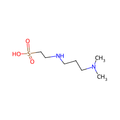 CN(C)CCCNCCS(=O)(=O)O